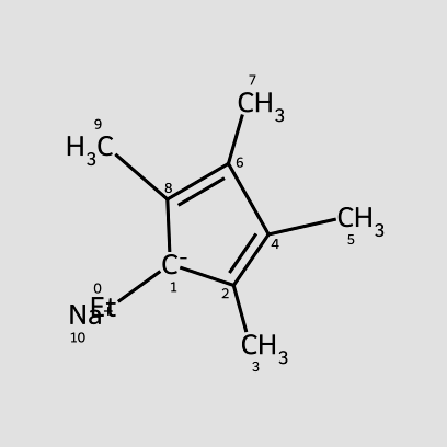 CC[c-]1c(C)c(C)c(C)c1C.[Na+]